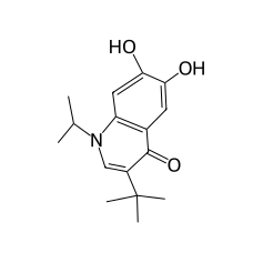 CC(C)n1cc(C(C)(C)C)c(=O)c2cc(O)c(O)cc21